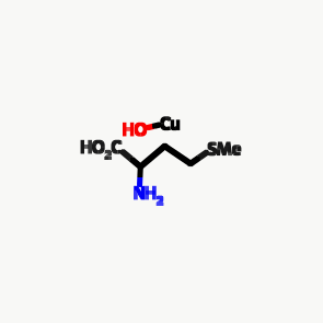 CSCCC(N)C(=O)O.[OH][Cu]